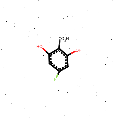 O=C(O)c1c(O)cc(F)cc1O